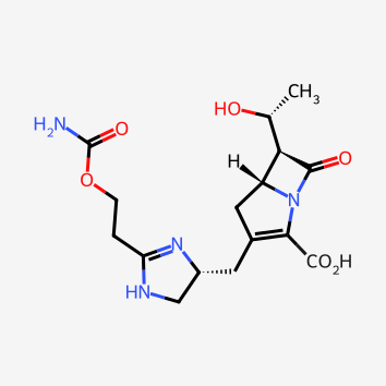 C[C@@H](O)[C@H]1C(=O)N2C(C(=O)O)=C(C[C@@H]3CNC(CCOC(N)=O)=N3)C[C@H]12